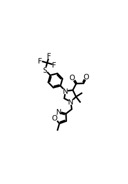 Cc1cc(CN2CN(c3ccc(SC(F)(F)F)cc3)C(C(=O)C=O)C2(C)C)no1